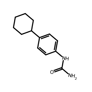 NC(=O)Nc1ccc(C2CCCCC2)cc1